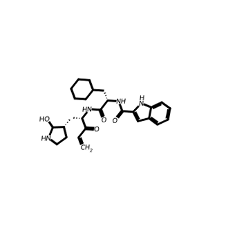 C=CC(=O)[C@H](C[C@@H]1CCNC1O)NC(=O)[C@H](CC1CCCCC1)NC(=O)c1cc2ccccc2[nH]1